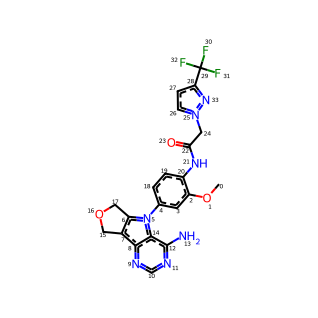 COc1cc(-n2c3c(c4ncnc(N)c42)COC3)ccc1NC(=O)Cn1ccc(C(F)(F)F)n1